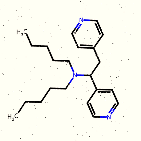 CCCCCN(CCCCC)C(Cc1ccncc1)c1ccncc1